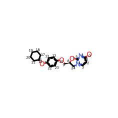 O=c1ccn2c(n1)O[C@H](COc1ccc(OC3CCCCC3)cc1)C2